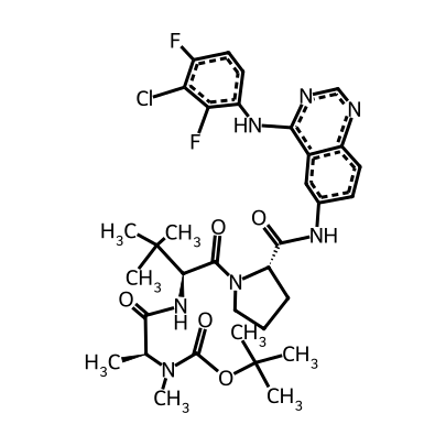 C[C@@H](C(=O)N[C@H](C(=O)N1CCC[C@H]1C(=O)Nc1ccc2ncnc(Nc3ccc(F)c(Cl)c3F)c2c1)C(C)(C)C)N(C)C(=O)OC(C)(C)C